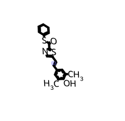 Cc1cc(/C=C/c2cnc(C(=O)SC3=CCCC=C3)s2)cc(C)c1O